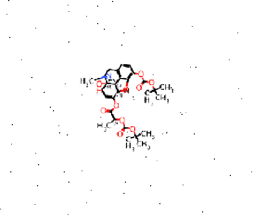 C[C@H](OC(=O)OC(C)(C)C)C(=O)OC1=CC[C@]2(O)C3Cc4ccc(OC(=O)OC(C)(C)C)c5c4[C@@]2(CCN3C)[C@H]1O5